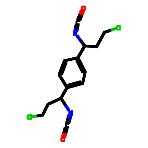 O=C=NC(CCCl)c1ccc(C(CCCl)N=C=O)cc1